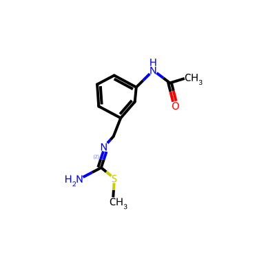 CS/C(N)=N\Cc1cccc(NC(C)=O)c1